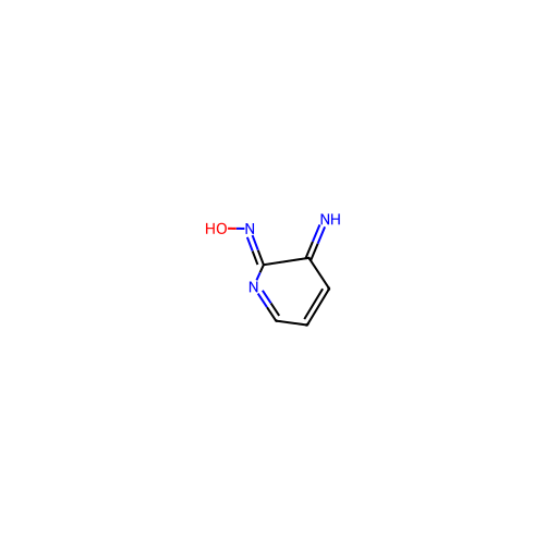 N=C1C=CC=N/C1=N\O